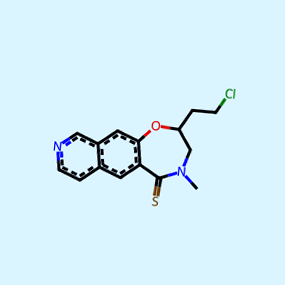 CN1CC(CCCl)Oc2cc3cnccc3cc2C1=S